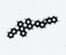 c1ccc2cc(-c3c4ccccc4c(-c4ccc(-c5ccc6c(ccc7c8cc9ccccc9cc8oc67)c5)c5ccccc45)c4ccccc34)ccc2c1